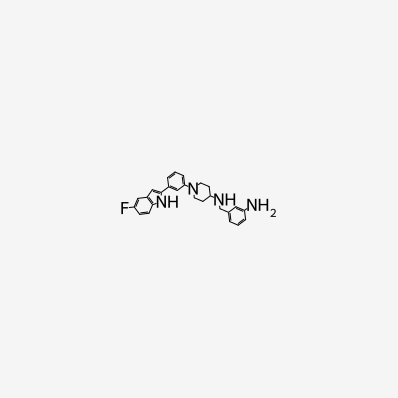 Nc1cccc(CNC2CCN(c3cccc(-c4cc5cc(F)ccc5[nH]4)c3)CC2)c1